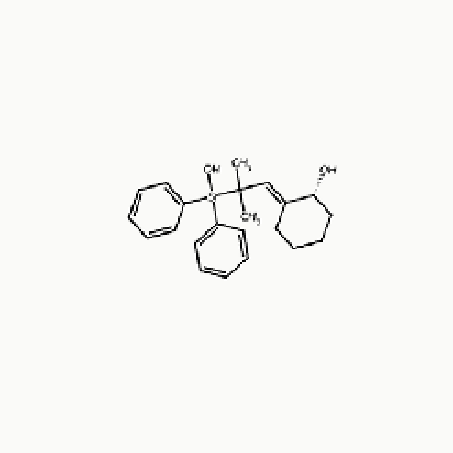 CC(C)(/C=C1\CCCC[C@H]1O)[Si](O)(c1ccccc1)c1ccccc1